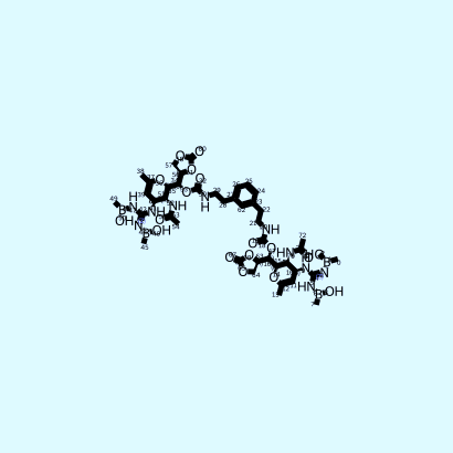 CB(O)/N=C(/NB(C)O)N[C@H]1C=C(C)O[C@@H]([C@H](OC(=O)NCCc2cccc(CCNC(=O)O[C@@H]([C@@H]3OC(C)=C[C@H](N/C(=N\B(C)O)NB(C)O)[C@H]3NC(C)=O)[C@H]3COC(=O)O3)c2)[C@H]2COC(=O)O2)[C@@H]1NC(C)=O